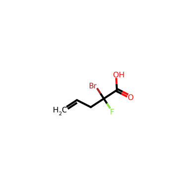 C=CCC(F)(Br)C(=O)O